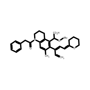 C=C/C(=C\C=C1/CCCCO1)c1c(C)cc2c(c1C(OC(C)(C)C)C(=O)O)CCCN2C(=O)Cc1ccccc1